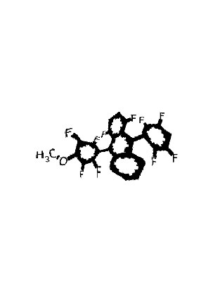 COc1c(F)c(F)c(-c2c3ccccc3c(-c3c(F)c(F)cc(F)c3F)c3c(F)ccc(F)c23)c(F)c1F